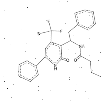 CCCC(=O)NC(Cc1ccccc1)c1c(C(F)(F)F)cc(-c2ccccc2)[nH]c1=O